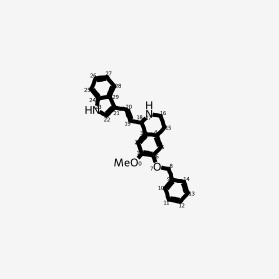 COc1cc2c(cc1OCc1ccccc1)CCNC2C=Cc1c[nH]c2ccccc12